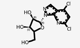 OCC1O[C@@H](n2ncc3c(Cl)cc(Cl)nc32)[C@H](O)[C@@H]1O